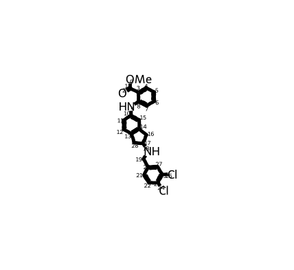 COC(=O)c1ccccc1Nc1ccc2c(c1)CC(NCc1ccc(Cl)c(Cl)c1)C2